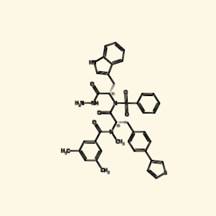 Cc1cc(C)cc(C(=O)N(C)[C@@H](Cc2ccc(-c3ccsc3)cc2)C(=O)N([C@@H](Cc2c[nH]c3ccccc23)C(=O)NN)S(=O)(=O)c2ccccc2)c1